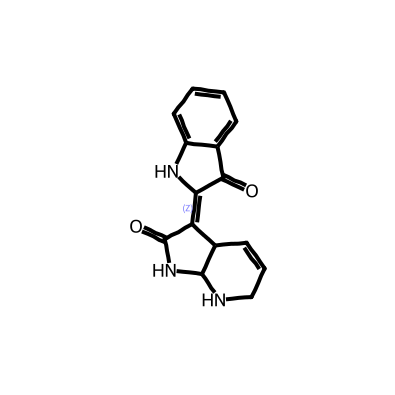 O=C1NC2NCC=CC2/C1=C1/Nc2ccccc2C1=O